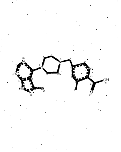 Cc1cc(CN2CCN(c3ncnc4[nH]nc(Br)c34)CC2)ccc1C(=O)O